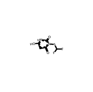 O=c1cc(O)[nH]c(=O)n1SC(F)F